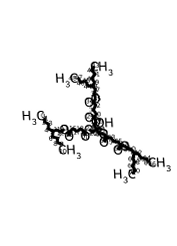 CCCCCC(CCCCC)CCOC(=O)CCCC(=O)OCC(CO)(COC(=O)CCCC(=O)OCCC(CCCCC)CCCCC)COC(=O)CCCC(=O)OCCC(CCCCC)CCCCC